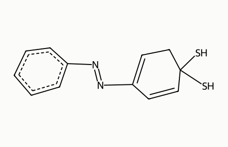 SC1(S)C=CC(N=Nc2ccccc2)=CC1